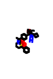 CC(c1ccc(C(=O)NC2(C#N)CCC2)cc1)N1CCCC(c2ccccc2)S1(=O)=O